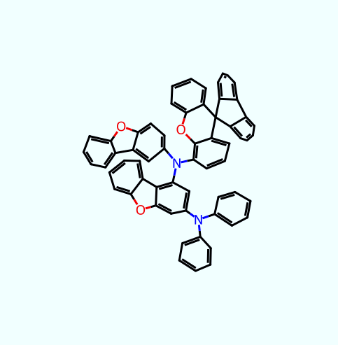 c1ccc(N(c2ccccc2)c2cc(N(c3ccc4oc5ccccc5c4c3)c3cccc4c3Oc3ccccc3C43c4ccccc4-c4ccccc43)c3c(c2)oc2ccccc23)cc1